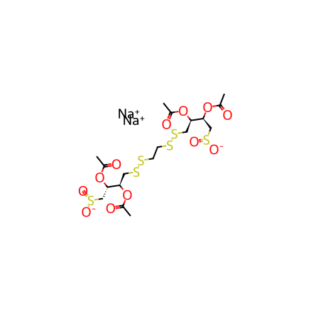 CC(=O)O[C@@H](CS(=O)[O-])[C@@H](CSSCCSSC[C@@H](OC(C)=O)[C@H](CS(=O)[O-])OC(C)=O)OC(C)=O.[Na+].[Na+]